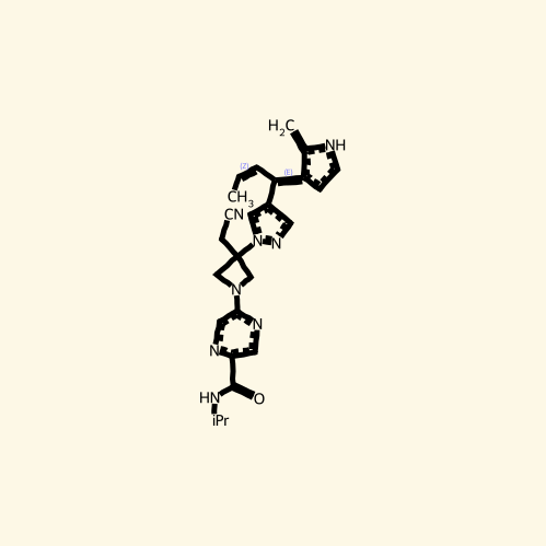 C=c1[nH]cc/c1=C(/C=C\C)c1cnn(C2(CC#N)CN(c3cnc(C(=O)NC(C)C)cn3)C2)c1